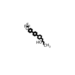 CCCC(O)CC1CCC(c2ccc(-c3ccc(OC(F)(F)F)cc3)cc2)CC1